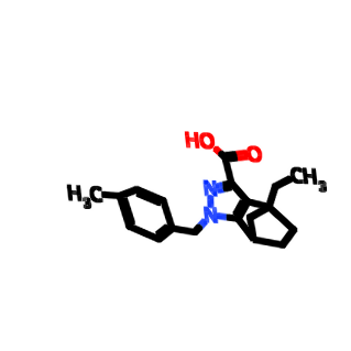 CCC12CCC(C1)c1c2c(C(=O)O)nn1Cc1ccc(C)cc1